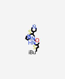 CCC(C)Cc1cc(C)c(NC(=O)NCc2c(-n3cccc3)sc3c2CCN(C)C3)s1